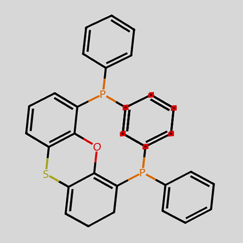 C1=C2Sc3cccc(P(c4ccccc4)c4ccccc4)c3OC2=C(P(c2ccccc2)c2ccccc2)CC1